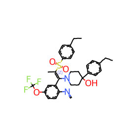 C=Nc1ccc(OC(F)(F)F)cc1/C(=C(\C)S(=O)(=O)c1ccc(CC)cc1)N1CCC(O)(c2ccc(CC)cc2)CC1